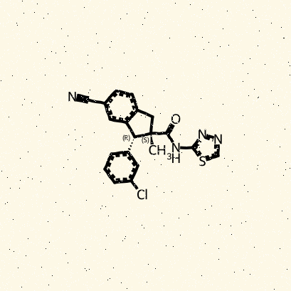 C[C@]1(C(=O)Nc2nncs2)Cc2ccc(C#N)cc2[C@H]1c1cccc(Cl)c1